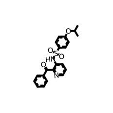 CC(C)Oc1ccc(S(=O)(=O)Nc2cccnc2C(=O)c2ccccc2)cc1